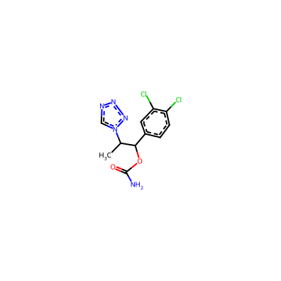 CC(C(OC(N)=O)c1ccc(Cl)c(Cl)c1)n1cnnn1